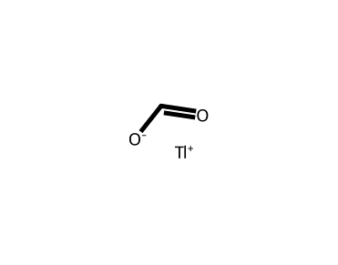 O=C[O-].[Tl+]